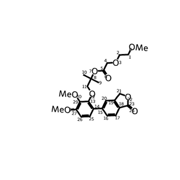 COCCOCC(=O)OC(C)(C)COc1c(-c2ccc3c(c2)COC3=O)ccc(OC)c1OC